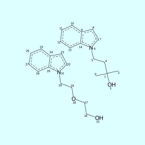 CC(C)(O)CCn1[c]cc2ccccc21.OCCOCCn1[c]cc2ccccc21